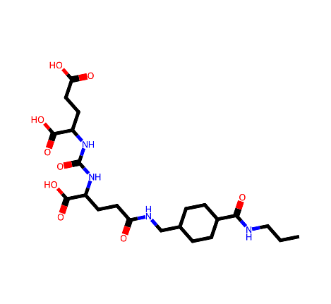 CCCNC(=O)C1CCC(CNC(=O)CCC(NC(=O)NC(CCC(=O)O)C(=O)O)C(=O)O)CC1